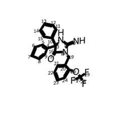 N=C1NC(c2ccccc2)(c2ccccc2)C(=O)N1Cc1ccccc1OC(F)(F)F